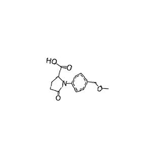 COCc1ccc(N2C(=O)CCC2C(=O)O)cc1